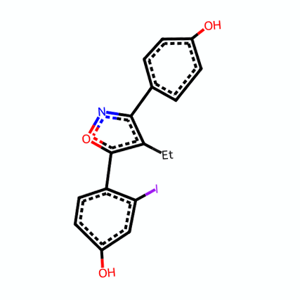 CCc1c(-c2ccc(O)cc2)noc1-c1ccc(O)cc1I